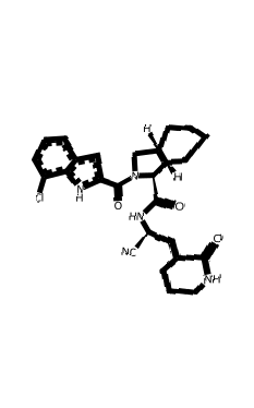 N#C[C@H](CC1CCCNC1=O)NC(=O)[C@@H]1[C@H]2CCCC[C@H]2CN1C(=O)c1cc2cccc(Cl)c2[nH]1